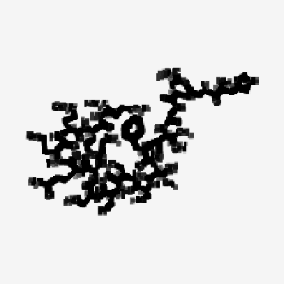 CSCC[C@H](NC(=O)[C@H](CCC(N)=O)NC(=O)[C@H](CCCCN)NC(=O)[C@H](CO)NC(=O)[C@H](CC(C)C)NC(=O)[C@H](CC(=O)O)NC(=O)[C@H](CO)NC(=O)[C@@H](NC(=O)[C@H](Cc1ccccc1)NC(=O)[C@@H](NC(=O)CNC(=O)[C@H](CCC(=O)O)NC(=O)CNC(=O)[C@@H](N)Cc1c[nH]cn1)[C@@H](C)O)[C@@H](C)O)C(=O)N[C@@H](CCC(=O)O)C(=O)N[C@@H](CCC(=O)O)C(=O)N[C@@H](CCC(=O)O)C(=O)O